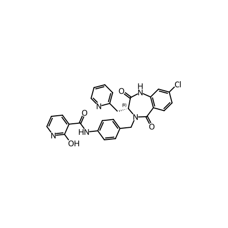 O=C(Nc1ccc(CN2C(=O)c3ccc(Cl)cc3NC(=O)[C@H]2Cc2ccccn2)cc1)c1cccnc1O